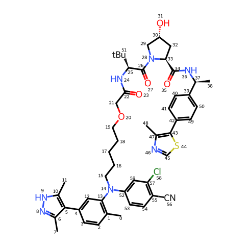 Cc1ccc(-c2c(C)n[nH]c2C)cc1N(CCCCCOCC(=O)N[C@H](C(=O)N1C[C@H](O)C[C@H]1C(=O)N[C@@H](C)c1ccc(-c2scnc2C)cc1)C(C)(C)C)c1ccc(C#N)c(Cl)c1